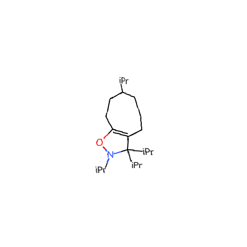 CC(C)C1CCCC2=C(CC1)ON(C(C)C)C2(C(C)C)C(C)C